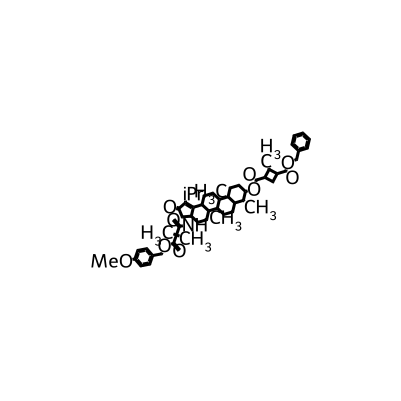 COc1ccc(COC(=O)C(C)(C)C(=O)NC23CCC4C(CCC5C4(C)CCC4C(C)C(OC(=O)C6CC(C(=O)OCc7ccccc7)C6C)CCC45C)C2=C(C(C)C)C(=O)C3)cc1